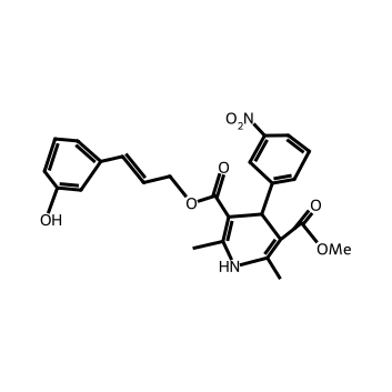 COC(=O)C1=C(C)NC(C)=C(C(=O)OCC=Cc2cccc(O)c2)C1c1cccc([N+](=O)[O-])c1